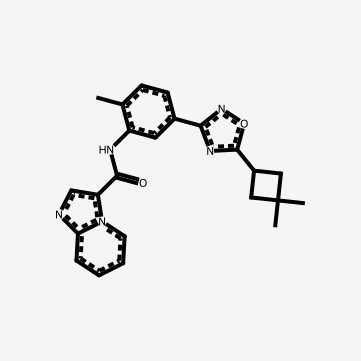 Cc1ccc(-c2noc(C3CC(C)(C)C3)n2)cc1NC(=O)c1cnc2ccccn12